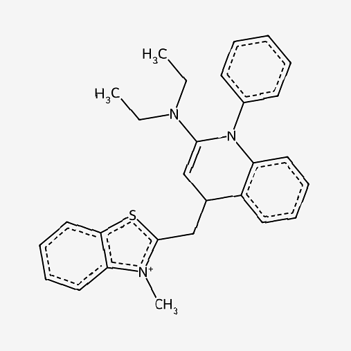 CCN(CC)C1=CC(Cc2sc3ccccc3[n+]2C)c2ccccc2N1c1ccccc1